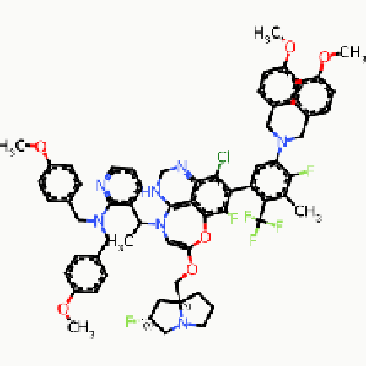 COc1ccc(CN(Cc2ccc(OC)cc2)c2cc(-c3c(F)c4c5c(c3Cl)=NCNC=5N(C(C)c3cccnc3N(Cc3ccc(OC)cc3)Cc3ccc(OC)cc3)C=C(OC[C@@]35CCCN3C[C@H](F)C5)O4)c(C(F)(F)F)c(C)c2F)cc1